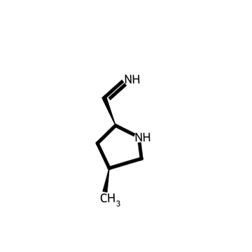 C[C@@H]1CN[C@H](C=N)C1